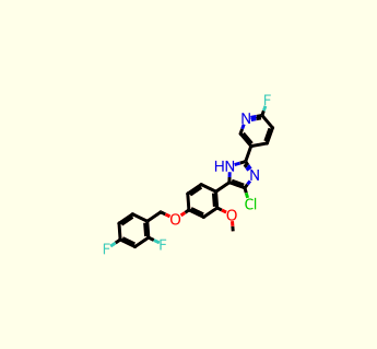 COc1cc(OCc2ccc(F)cc2F)ccc1-c1[nH]c(-c2ccc(F)nc2)nc1Cl